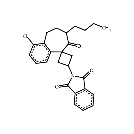 CCCCC1CCc2c(Cl)cccc2C2(CC(N3C(=O)c4ccccc4C3=O)C2)C1=O